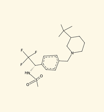 CC(C)(C)C1CCCN(Cc2ccc([C@H](NS(C)(=O)=O)C(F)(F)F)cc2)C1